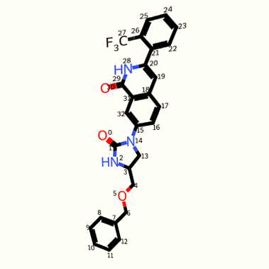 O=C1NC(COCc2ccccc2)CN1c1ccc2cc(-c3ccccc3C(F)(F)F)[nH]c(=O)c2c1